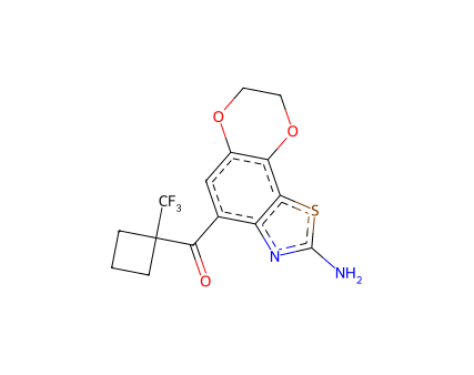 Nc1nc2c(C(=O)C3(C(F)(F)F)CCC3)cc3c(c2s1)OCCO3